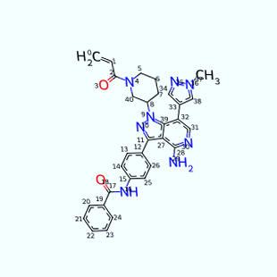 C=CC(=O)N1CCCC(n2nc(-c3ccc(NC(=O)c4ccccc4)cc3)c3c(N)ncc(-c4cnn(C)c4)c32)C1